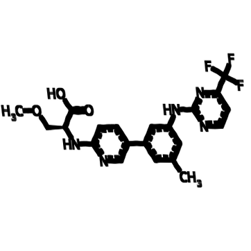 COC[C@H](Nc1ccc(-c2cc(C)cc(Nc3nccc(C(F)(F)F)n3)c2)cn1)C(=O)O